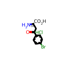 Cl.N[C@@H](CC(=O)c1ccc(Br)cc1)C(=O)O